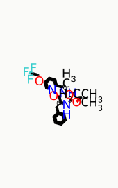 C[C@@H](NC(=O)[C@H](Cc1ccccc1)NC(=O)OC(C)(C)C)c1ccc(OCC(F)(F)F)cn1